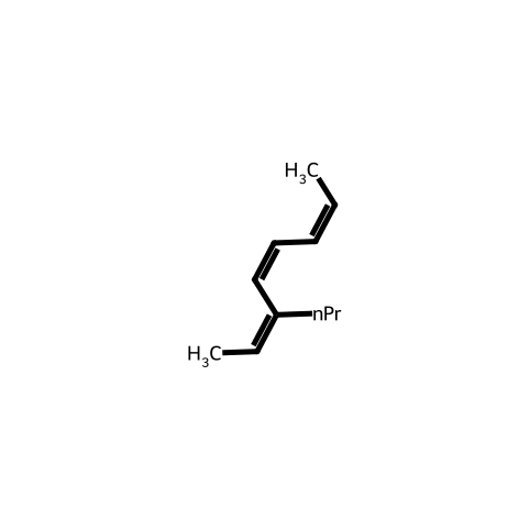 C\C=C/C=C\C(=C/C)CCC